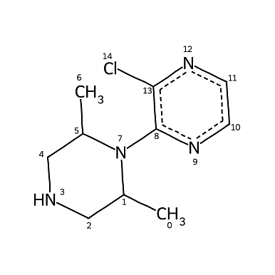 CC1CNCC(C)N1c1nccnc1Cl